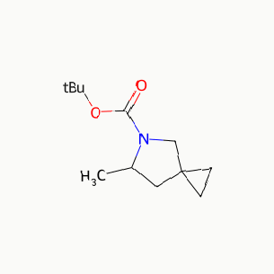 CC1CC2(CC2)CN1C(=O)OC(C)(C)C